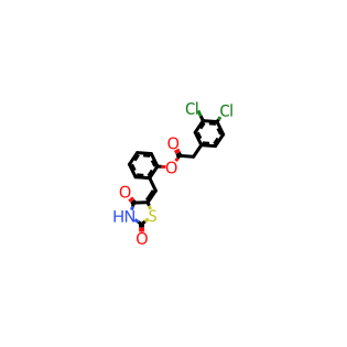 O=C(Cc1ccc(Cl)c(Cl)c1)Oc1ccccc1/C=C1/SC(=O)NC1=O